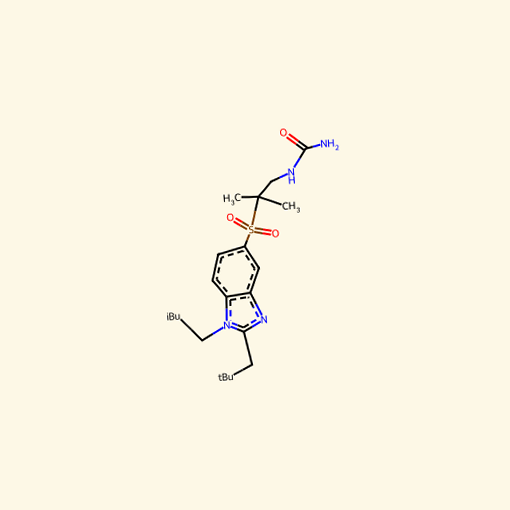 CCC(C)Cn1c(CC(C)(C)C)nc2cc(S(=O)(=O)C(C)(C)CNC(N)=O)ccc21